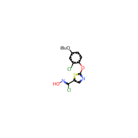 CC(C)COc1ccc(Oc2ncc(C(Cl)=NO)s2)c(Cl)c1